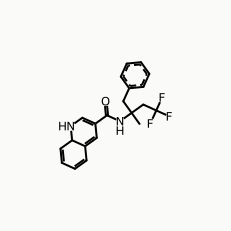 CC(Cc1ccccc1)(CC(F)(F)F)NC(=O)C1=CNC2C=CC=CC2=C1